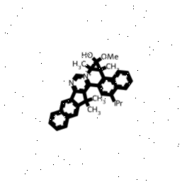 COC1(O)C2(C)c3c(cc(C(C)C)c4ccccc34)-c3c4c(nc[n+]3C12C)-c1cc2ccccc2cc1C4(C)C